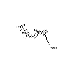 CCCCCCCCCCCCCCCCCCCCC(=O)NC(C)(C)CCOC(C)(C)CCNC(=O)C(C)(C)CCOC(C)(C)CCNC(=O)CCN1C(=O)CC(C(C)C)C1=O